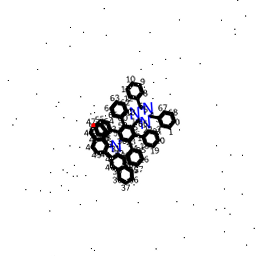 c1ccc(-c2nc(-c3ccccc3)nc(-c3c(-c4ccccc4)c(-c4ccccc4)c(-n4c5cc6ccccc6cc5c5ccc6ccccc6c54)c(-c4ccccc4)c3-c3ccccc3)n2)cc1